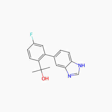 CC(C)(O)c1ccc(F)cc1-c1ccc2[nH]cnc2c1